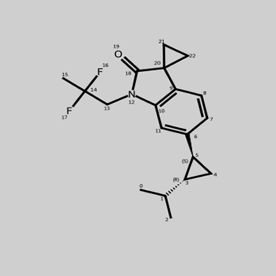 CC(C)[C@H]1C[C@@H]1c1ccc2c(c1)N(CC(C)(F)F)C(=O)C21CC1